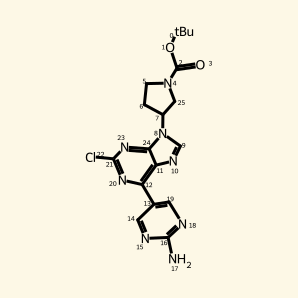 CC(C)(C)OC(=O)N1CCC(n2cnc3c(-c4cnc(N)nc4)nc(Cl)nc32)C1